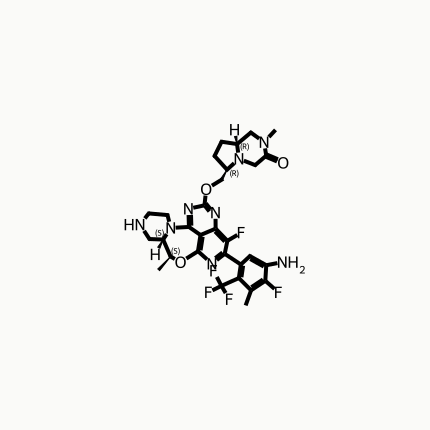 Cc1c(F)c(N)cc(-c2nc3c4c(nc(OC[C@H]5CC[C@@H]6CN(C)C(=O)CN56)nc4c2F)N2CCNC[C@H]2[C@H](C)O3)c1C(F)(F)F